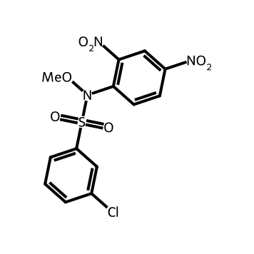 CON(c1ccc([N+](=O)[O-])cc1[N+](=O)[O-])S(=O)(=O)c1cccc(Cl)c1